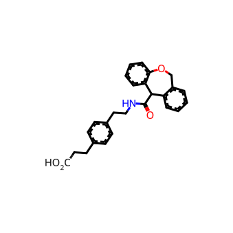 O=C(O)CCc1ccc(CCNC(=O)C2c3ccccc3COc3ccccc32)cc1